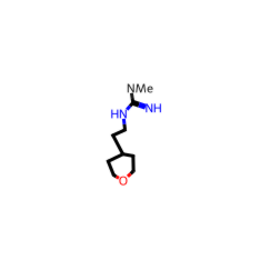 CNC(=N)NCCC1CCOCC1